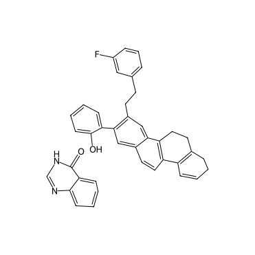 O=c1[nH]cnc2ccccc12.Oc1ccccc1-c1cc2ccc3c(c2cc1CCc1cccc(F)c1)CCC1=C3C=CCC1